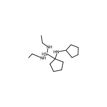 CCN[SiH](NCC)C1(NC2CCCC2)CCCC1